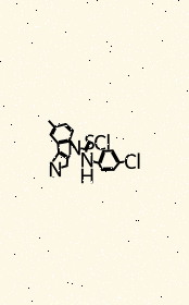 Cc1ccc2c(c1)c1c(n2C(=S)Nc2ccc(Cl)cc2Cl)CN(C)C1